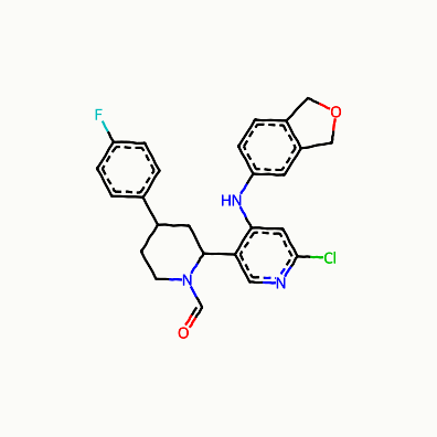 O=CN1CCC(c2ccc(F)cc2)CC1c1cnc(Cl)cc1Nc1ccc2c(c1)COC2